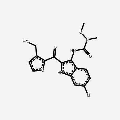 CON(C)C(=O)Nc1c(C(=O)c2occc2CO)[nH]c2cc(Cl)ccc12